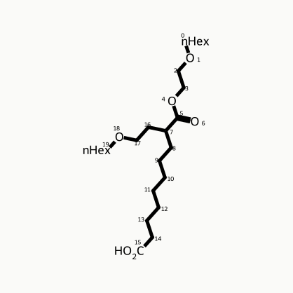 CCCCCCOCCOC(=O)C(CCCCCCCC(=O)O)CCOCCCCCC